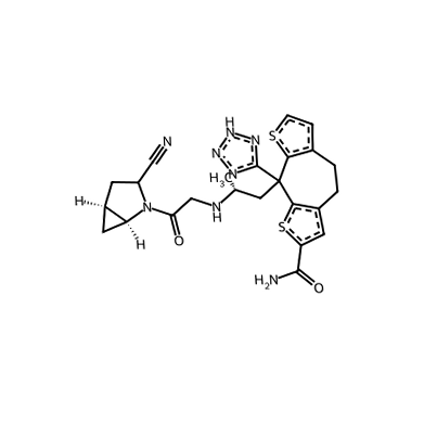 C[C@H](CC1(c2nn[nH]n2)c2sccc2CCc2cc(C(N)=O)sc21)NCC(=O)N1C(C#N)C[C@@H]2C[C@@H]21